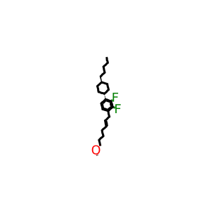 CCCCC[C@H]1CC[C@H](c2ccc(CC=CCCCCOC)c(F)c2F)CC1